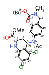 COC(=O)[C@@H]1C[C@@H](N(C(C)=O)c2ccc(CN(C)C(=O)OC(C)(C)C)cc2)c2c(Cl)cc(Cl)cc2N1